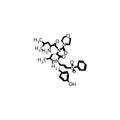 CC(C)C[C@H](N)C(=O)N(C(=O)N1CCOCC1)[C@@H](CC(C)C)C(=O)N[C@H](/C=C/S(=O)(=O)c1ccccc1)Cc1ccc(O)cc1